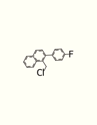 Fc1ccc(-c2ccc3ccccc3c2CCl)cc1